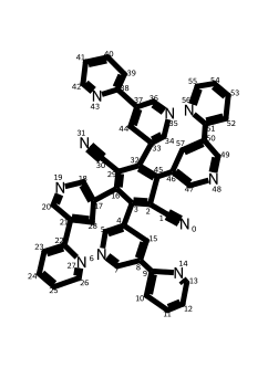 N#Cc1c(-c2cncc(-c3ccccn3)c2)c(-c2cncc(-c3ccccn3)c2)c(C#N)c(-c2cncc(-c3ccccn3)c2)c1-c1cncc(-c2ccccn2)c1